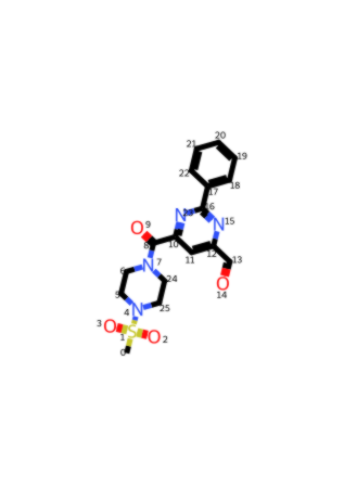 CS(=O)(=O)N1CCN(C(=O)c2cc(C=O)nc(-c3ccccc3)n2)CC1